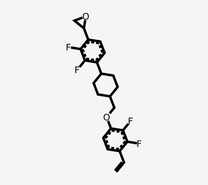 C=Cc1ccc(OCC2CCC(c3ccc(C4CO4)c(F)c3F)CC2)c(F)c1F